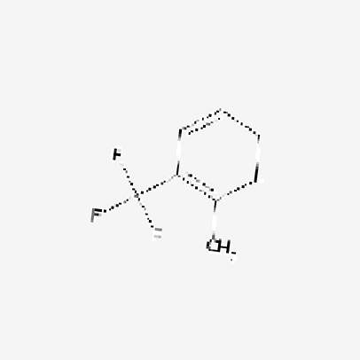 CC1=C(C(F)(F)F)C=CC[CH]1